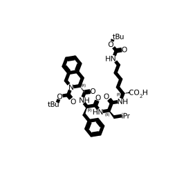 CC(C)C[C@@H](NC(=O)[C@@H](Cc1ccccc1)NC(=O)[C@H]1Cc2ccccc2CN1C(=O)OC(C)(C)C)C(=O)N[C@H](CCCCNC(=O)OC(C)(C)C)C(=O)O